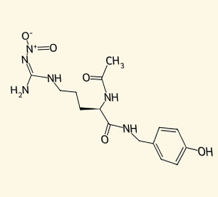 CC(=O)N[C@H](CCCN/C(N)=N\[N+](=O)[O-])C(=O)NCc1ccc(O)cc1